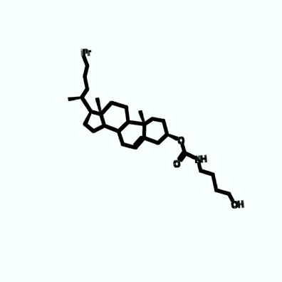 CC(C)CCC[C@H](C)[C@@H]1CCC2C3CC=C4C[C@H](OC(=O)NCCCCO)CC[C@@]4(C)C3CC[C@]21C